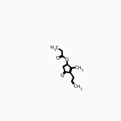 C=CCC1=C(C)C(OC(=O)CC)CC1=O